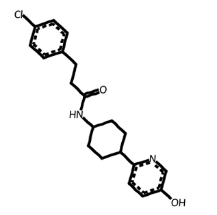 O=C(CCc1ccc(Cl)cc1)NC1CCC(c2ccc(O)cn2)CC1